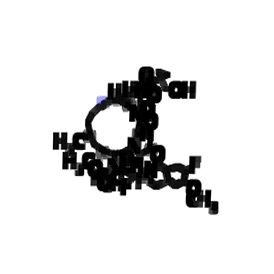 CC[C@@H]1C[C@@H](C)CC/C=C\[C@@H]2C[C@@]2(C(=O)NS(=O)(=O)C2(CO)CC2)NC(=O)[C@@H]2C[C@@H](Oc3nccc4cc(OC)c(F)cc34)CN2C(=O)[C@H]1N(C(=O)O)C(C)(C)C(F)(F)F